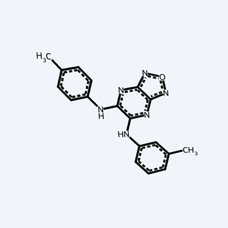 Cc1ccc(Nc2nc3nonc3nc2Nc2cccc(C)c2)cc1